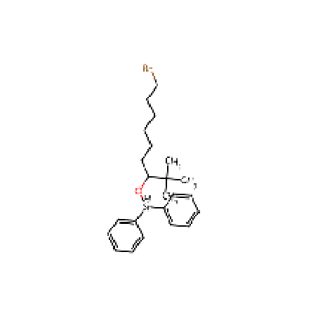 CC(C)(C)C(CCCCCCBr)O[SiH](c1ccccc1)c1ccccc1